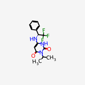 CC(C)n1c(=O)cc(N[C@H](c2ccccc2)C(F)(F)F)[nH]c1=O